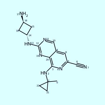 CC1(Nc2nc(C#N)cc3cnc(N[C@H]4C[C@H](N)C4)nc23)CC1